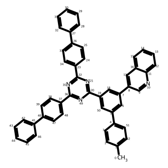 Cc1ccc(-c2cc(-c3cnc4ccccc4c3)cc(-c3nc(-c4ccc(-c5ccccc5)cc4)nc(-c4ccc(-c5ccccc5)cc4)n3)c2)cc1